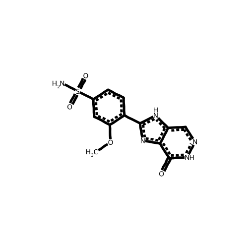 COc1cc(S(N)(=O)=O)ccc1-c1nc2c(=O)[nH]ncc2[nH]1